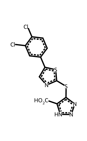 O=C(O)c1[nH]nnc1Sc1ncc(-c2ccc(Cl)c(Cl)c2)s1